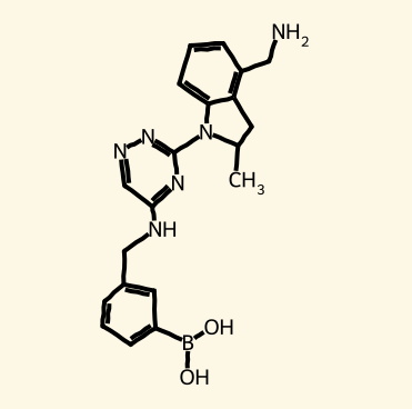 CC1Cc2c(CN)cccc2N1c1nncc(NCc2cccc(B(O)O)c2)n1